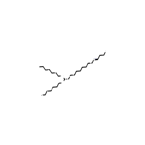 CCCCCCCOC(CCCCCCCCC/C=C/CCI)OCCCCCCC